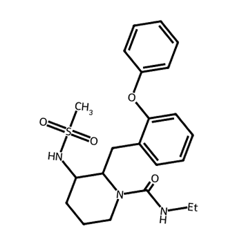 CCNC(=O)N1CCCC(NS(C)(=O)=O)C1Cc1ccccc1Oc1ccccc1